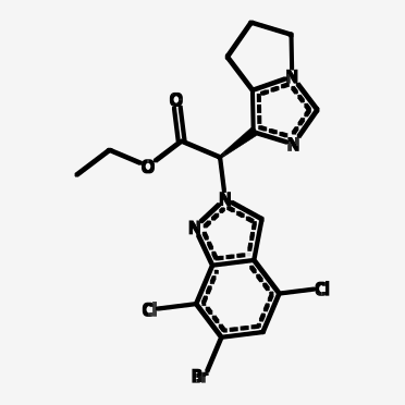 CCOC(=O)[C@@H](c1ncn2c1CCC2)n1cc2c(Cl)cc(Br)c(Cl)c2n1